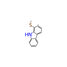 CSc1[c]ccc2c1[nH]c1ccccc12